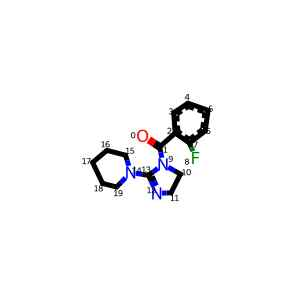 O=C(c1ccccc1F)N1CCN=C1N1CCCCC1